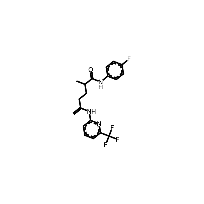 C=C(CCC(C)C(=O)Nc1ccc(F)cc1)Nc1cccc(C(F)(F)F)n1